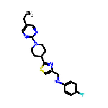 CCc1cnc(N2CCC(c3nc(CNc4ccc(F)cc4)cs3)CC2)nc1